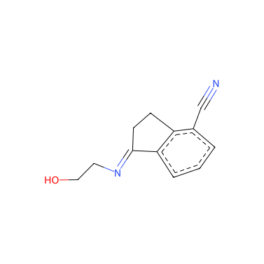 N#Cc1cccc2c1CCC2=NCCO